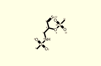 CS(=O)(=O)NCC(C=S)OS(C)(=O)=O